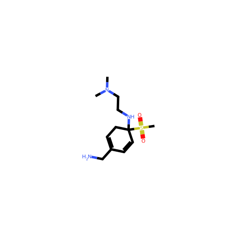 CN(C)CCNC1(S(C)(=O)=O)C=CC(CN)=CC1